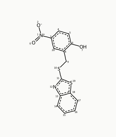 O=[N+]([O-])c1ccc(O)c(CSc2nc3ccccc3s2)c1